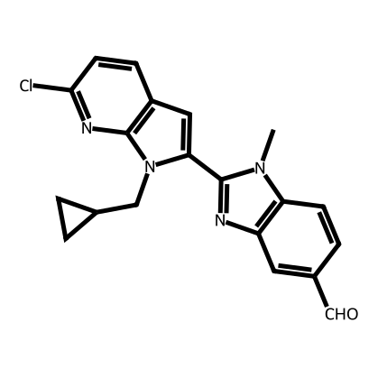 Cn1c(-c2cc3ccc(Cl)nc3n2CC2CC2)nc2cc(C=O)ccc21